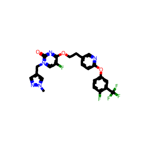 Cn1cc(Cn2cc(F)c(OCCc3ccc(Oc4ccc(F)c(C(F)(F)F)c4)nc3)nc2=O)cn1